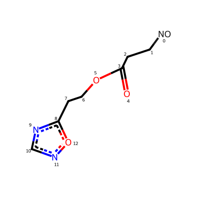 O=NCCC(=O)OCCc1ncno1